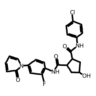 O=C(Nc1ccc(Cl)cc1)C1CC(O)CC1C(=O)Nc1ccc(-n2ccccc2=O)cc1F